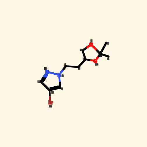 CC1(C)OCC(CCn2cc(Br)cn2)O1